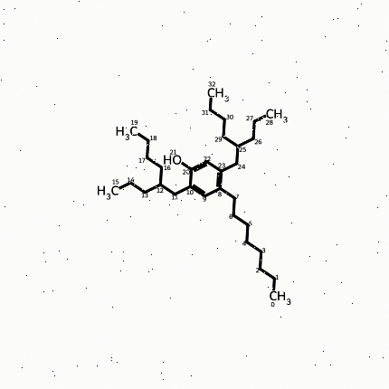 CCCCCCCCc1cc(CC(CCC)CCCC)c(O)cc1CC(CCC)CCCC